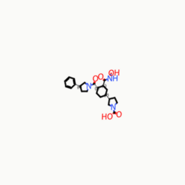 O=C(NO)[C@H]1C[C@H](C2CCN(C(=O)O)C2)CC[C@@H]1C(=O)N1CC[C@H](c2ccccc2)C1